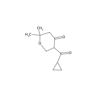 CC1(C)CC(=O)C(C(=O)C2CC2)CO1